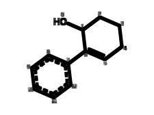 OC1CCCC=C1c1ccccc1